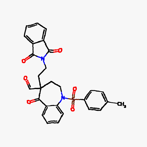 Cc1ccc(S(=O)(=O)N2CCC(C=O)(CCN3C(=O)c4ccccc4C3=O)C(=O)c3ccccc32)cc1